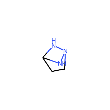 C1CN2NC1N2